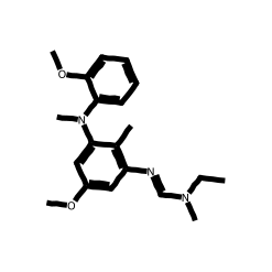 CCN(C)/C=N/c1cc(OC)cc(N(C)c2ccccc2OC)c1C